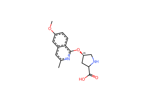 COc1ccc2c(O[C@H]3CNC(C(=O)O)C3)nc(C)cc2c1